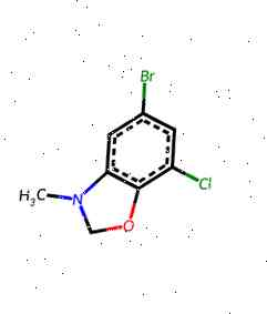 CN1COc2c(Cl)cc(Br)cc21